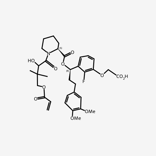 C=CC(=O)OCC(C)(C)C(O)C(=O)N1CCCC[C@H]1C(=O)O[C@H](CCc1ccc(OC)c(OC)c1)c1cccc(OCC(=O)O)c1F